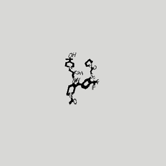 CC(=O)N1CCc2c(c(-c3ccc(C(F)(F)F)c(SCC(=O)N4CCCC4)c3)nn2CC(O)CN2CCC(C(C)(C)O)CC2)C1